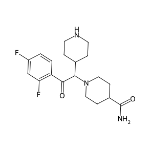 NC(=O)C1CCN(C(C(=O)c2ccc(F)cc2F)C2CCNCC2)CC1